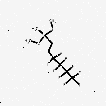 CO[Si](C)(CCC(F)(F)C(F)(F)C(F)(F)C(F)(F)F)OC